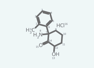 Cc1ccccc1C1(N)CCCC(O)C1=O.Cl